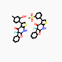 CS(=O)(=O)c1cccc(-c2csc3c2C(=O)C(F)(c2ccccc2)C(=O)N3)c1.Cc1ccc(-c2csc3c2C(=O)C(F)(c2ccccc2)C(=O)N3)c(O)c1